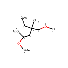 CSOC(CC(C)(COC(C)=O)COC(C)C)OC(C)=O